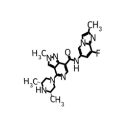 Cc1cn2cc(NC(=O)c3cnc(N4C[C@@H](C)N[C@@H](C)C4)c4cn(C)nc34)cc(F)c2n1